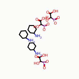 NC1CCCCC1.NC1CCCCC1.NC1CCCCC1.O=C(O)C(O)P(=O)=O.O=C(O)C(O)P(=O)=O.O=C(O)C(O)P(=O)=O